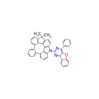 CC1(C)c2cccc3c4ccccc4c4cccc5c4c4c(c1ccc4n5-c1nc(-c4ccccc4)c4oc5ccccc5c4n1)c23